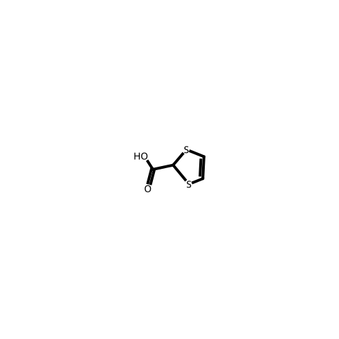 O=C(O)C1SC=CS1